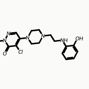 Cn1ncc(N2CCN(CCNc3ccccc3O)CC2)c(Cl)c1=O